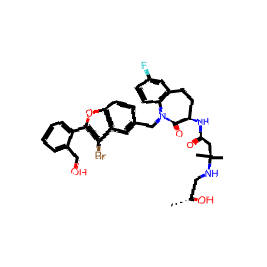 C[C@@H](O)CNC(C)(C)CC(=O)N[C@@H]1CCc2cc(F)ccc2N(Cc2ccc3oc(-c4ccccc4CO)c(Br)c3c2)C1=O